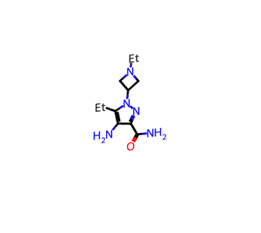 CCc1c(N)c(C(N)=O)nn1C1CN(CC)C1